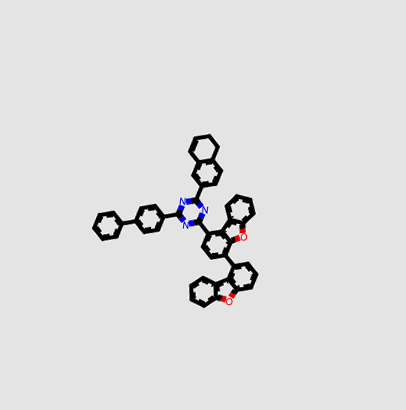 C1=Cc2cc(-c3nc(-c4ccc(-c5ccccc5)cc4)nc(-c4ccc(-c5cccc6oc7ccccc7c56)c5oc6ccccc6c45)n3)ccc2CC1